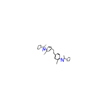 C/C(=N\c1ccc(CCc2ccc(/N=C(\C)C3CCCC3)c(C)c2)cc1C)C1CCCC1